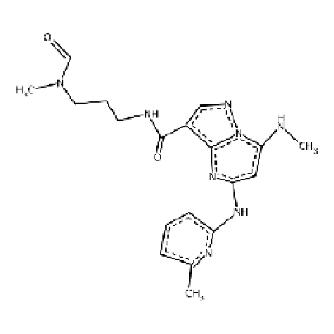 CNc1cc(Nc2cccc(C)n2)nc2c(C(=O)NCCCN(C)C=O)cnn12